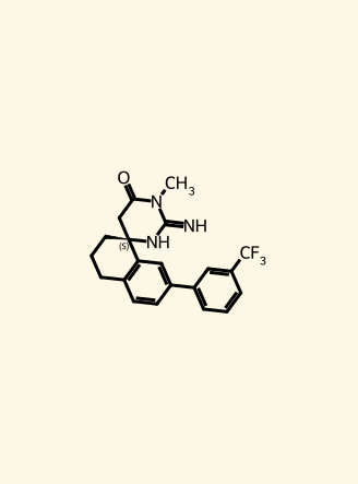 CN1C(=N)N[C@@]2(CCCc3ccc(-c4cccc(C(F)(F)F)c4)cc32)CC1=O